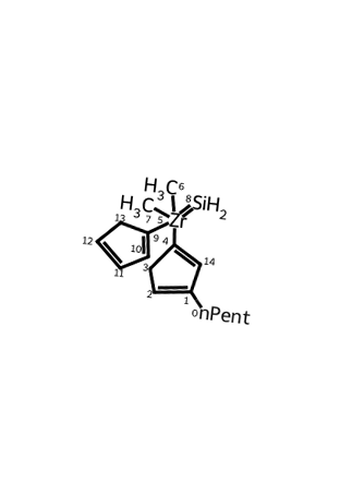 CCCCCC1=CC[C]([Zr]([CH3])([CH3])(=[SiH2])[C]2=CC=CC2)=C1